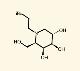 CCC(C)CCN1C[C@H](O)[C@@H](O)[C@@H](O)[C@H]1CO